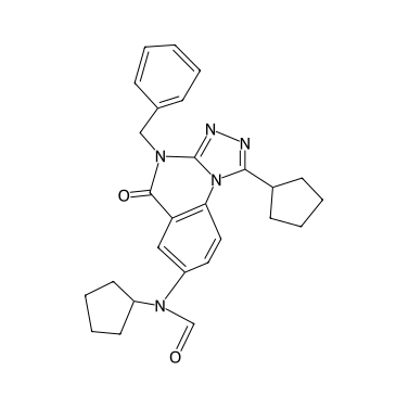 O=CN(c1ccc2c(c1)c(=O)n(Cc1ccccc1)c1nnc(C3CCCC3)n21)C1CCCC1